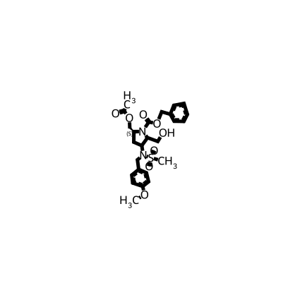 COc1ccc(CN(C2C[C@@H](COC(C)=O)N(C(=O)OCc3ccccc3)C2CO)S(C)(=O)=O)cc1